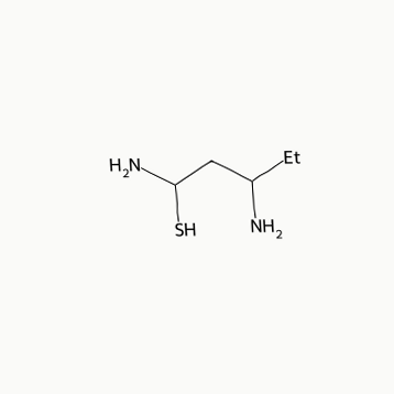 CCC(N)CC(N)S